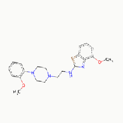 COc1ccccc1N1CCN(CCNc2nc3c(OC)cccc3s2)CC1